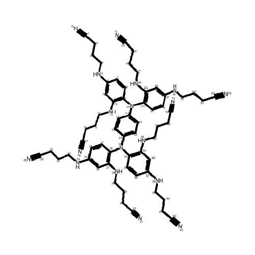 N#CCCCNc1ccc(N(c2ccc(N(c3ccc(NCCCC#N)cc3NCCCC#N)c3ccc(NCCCC#N)cc3NCCCC#N)cc2)c2ccc(NCCCC#N)cc2NCCCC#N)c(NCCCC#N)c1